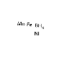 B.[Fe].[Mo].[Ni]